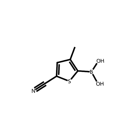 Cc1cc(C#N)sc1B(O)O